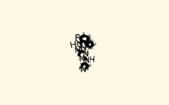 Fc1ccccc1Nc1nc2cnc(Nc3ccncc3)nc2n1C1CCCC1